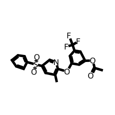 CC(=O)Oc1cc(Oc2ncc(S(=O)(=O)c3ccccc3)cc2C)cc(C(F)(F)F)c1